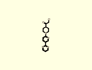 O=C(CCl)C1CCN(c2ccc(-c3ncccn3)cn2)CC1